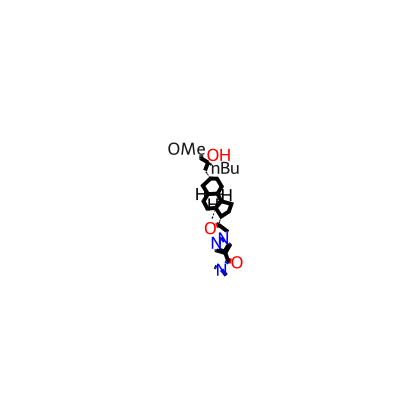 CCCC[C@](O)(COC)C[C@@H]1CC[C@@H]2[C@H](CC[C@]3(C)[C@@H](C(=O)Cn4cc(C(=O)N(C)C)cn4)CC[C@@H]23)C1